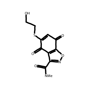 CNC(=O)c1noc2c1C(=O)C(SCCO)=CC2=O